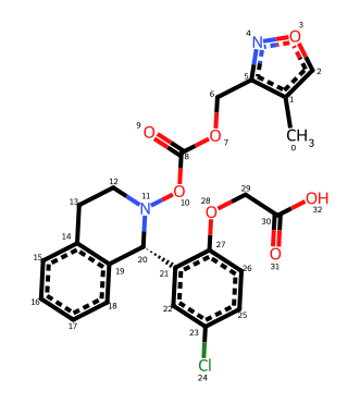 Cc1conc1COC(=O)ON1CCc2ccccc2[C@H]1c1cc(Cl)ccc1OCC(=O)O